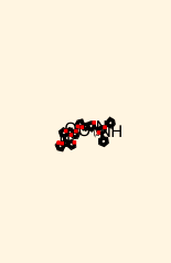 C[C@@H]1C(c2ccc3c(c2)oc2c(-c4cccc5c4oc4cccc(-n6c7ccccc7c7ccccc76)c45)cccc23)=NC(c2ccccc2)NC1c1ccccc1